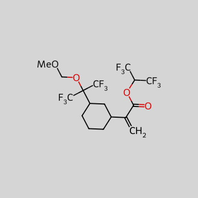 C=C(C(=O)OC(C(F)(F)F)C(F)(F)F)C1CCCC(C(OCOC)(C(F)(F)F)C(F)(F)F)C1